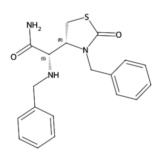 NC(=O)[C@@H](NCc1ccccc1)[C@@H]1CSC(=O)N1Cc1ccccc1